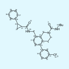 CC(C)(C)NC(=O)N1CCc2c(-c3cccc(C(F)(F)F)c3)ccc(CNC(=O)C3CC3c3ccccc3)c2C1